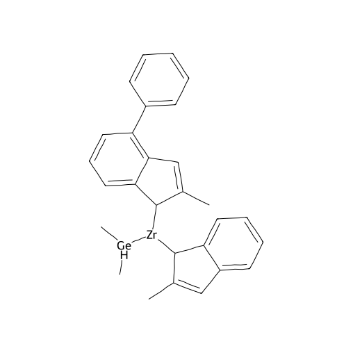 CC1=Cc2ccccc2[CH]1[Zr]([CH]1C(C)=Cc2c(-c3ccccc3)cccc21)[GeH]([CH3])[CH3]